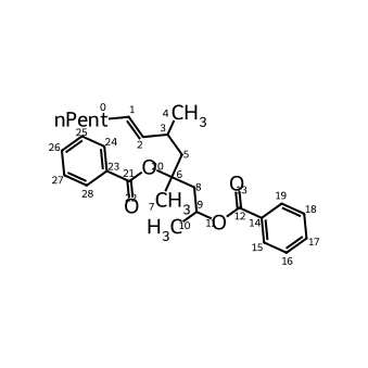 CCCCCC=CC(C)CC(C)(CC(C)OC(=O)c1ccccc1)OC(=O)c1ccccc1